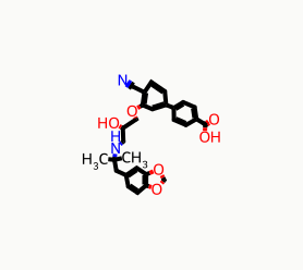 CC(C)(Cc1ccc2c(c1)OCO2)NCC(O)COc1cc(-c2ccc(C(=O)O)cc2)ccc1C#N